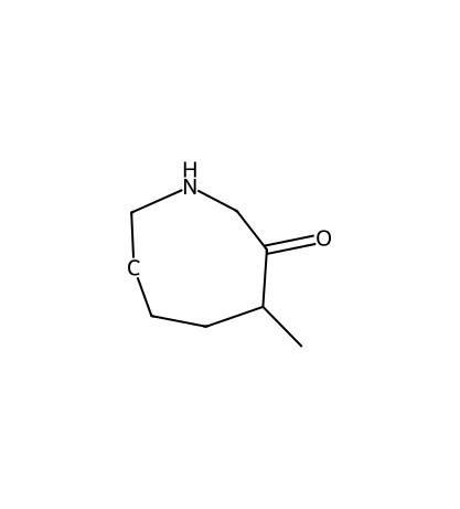 CC1CCCCNCC1=O